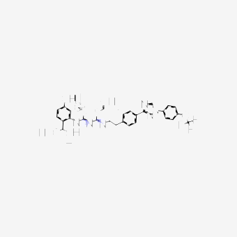 C=CSC(=N\CCc1ccc(-c2ncn(-c3ccc(OC(F)(F)F)cc3)n2)cc1)/N=C(/Nc1cc(C)ccc1C(C)C)SC